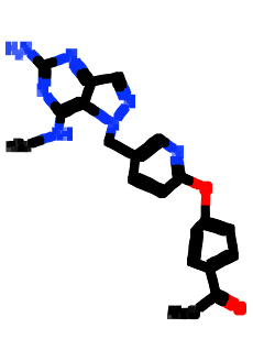 CCCCNc1nc(N)nc2cnn(Cc3ccc(Oc4ccc(C(=O)OC)cc4)nc3)c12